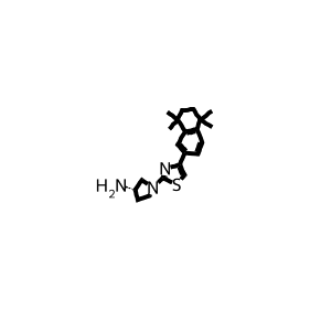 CC1(C)CCC(C)(C)c2cc(-c3csc(N4CC[C@H](N)C4)n3)ccc21